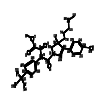 COC(=O)C(=O)N(C(=O)N1CC(C)(CCCSC)C(c2ccc(Cl)cc2)=N1)c1ccc(C(F)(F)F)cc1